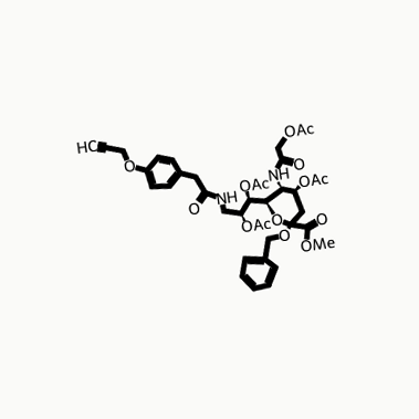 C#CCOc1ccc(CC(=O)NC[C@@H](OC(C)=O)[C@@H](OC(C)=O)[C@@H]2O[C@@](OCc3ccccc3)(C(=O)OC)C[C@H](OC(C)=O)[C@H]2NC(=O)COC(C)=O)cc1